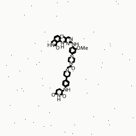 COc1cc(N2CCN(C(=O)CN3CCC(c4ccc(NC5CCC(=O)NC5=O)cc4)CC3)CC2)ccc1Nc1ncc(Cl)c(Nc2cccc3c2C(=O)NC3)n1